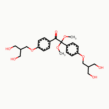 COC(OC)(C(=O)c1ccc(OCC(CO)CO)cc1)c1ccc(OCC(CO)CO)cc1